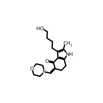 Cc1[nH]c2c(c1CCCCO)C(=O)/C(=C\N1CCOCC1)CC2